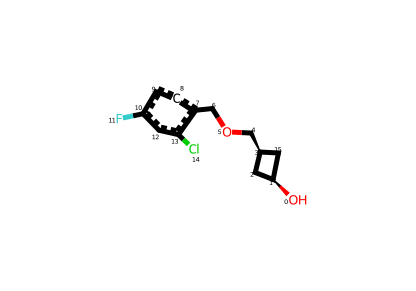 O[C@H]1C[C@@H](COCc2ccc(F)cc2Cl)C1